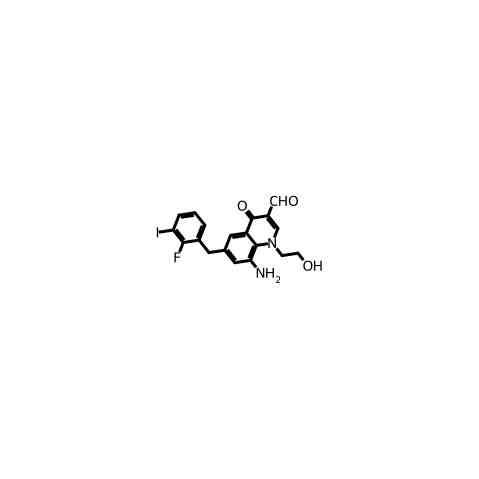 Nc1cc(Cc2cccc(I)c2F)cc2c(=O)c(C=O)cn(CCO)c12